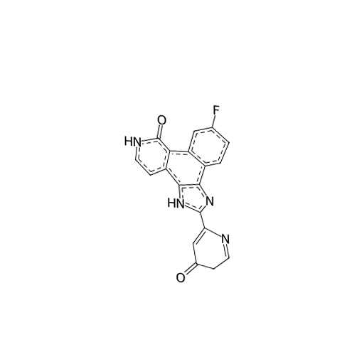 O=C1C=C(c2nc3c4ccc(F)cc4c4c(=O)[nH]ccc4c3[nH]2)N=CC1